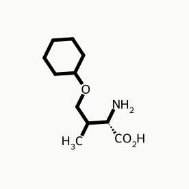 CC(COC1CCCCC1)[C@H](N)C(=O)O